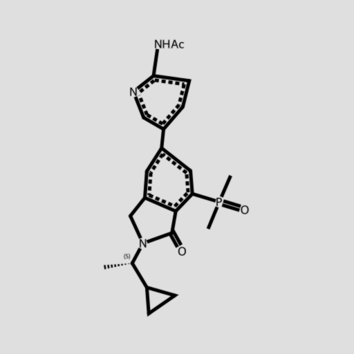 CC(=O)Nc1ccc(-c2cc3c(c(P(C)(C)=O)c2)C(=O)N([C@@H](C)C2CC2)C3)cn1